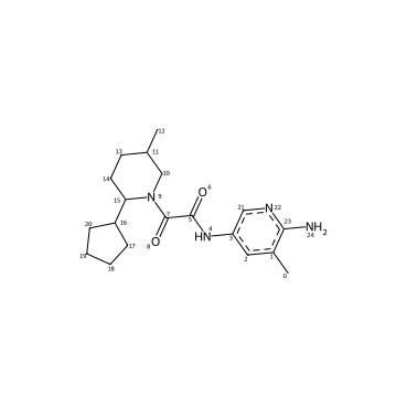 Cc1cc(NC(=O)C(=O)N2CC(C)CCC2C2CCCC2)cnc1N